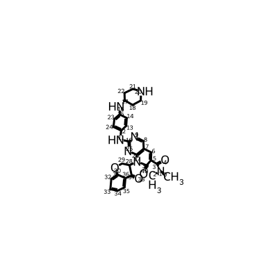 CN(C)C(=O)c1cc2cnc(Nc3ccc(NC4CCNCC4)cc3)nc2n(C2COc3ccccc3C2=O)c1=O